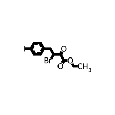 CCOC(=O)C(=O)C(Br)Cc1ccc(I)cc1